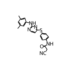 Cc1cc(C)cc(Nc2nccc(Sc3ccc(NC(=O)CC#N)cc3)n2)c1